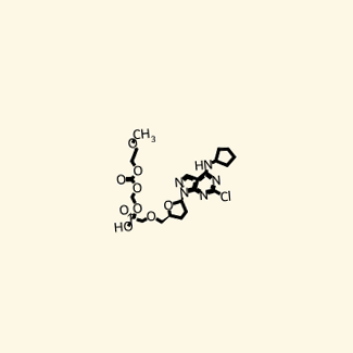 COCCOC(=O)OCOP(=O)(O)COC[C@@H]1CC[C@H](n2ncc3c(NC4CCCC4)nc(Cl)nc32)O1